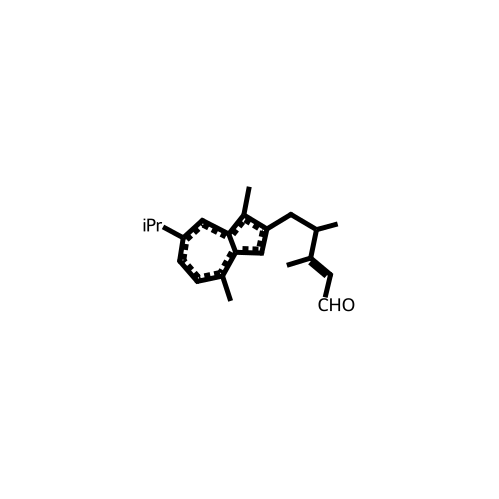 C/C(=C\C=O)C(C)Cc1cc2c(C)ccc(C(C)C)cc-2c1C